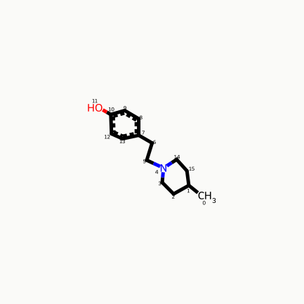 CC1CCN(CCc2ccc(O)cc2)CC1